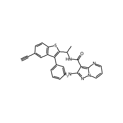 C#Cc1ccc2sc(C(C)NC(=O)c3c(N)nn4cccnc34)c(-c3ccccc3)c2c1